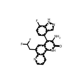 Nc1c(-c2ccc(F)c3[nH]ncc23)c2cc(CC(F)F)c3ncccc3c2[nH]c1=O